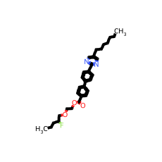 CCCCCCCc1cnc(-c2ccc(-c3ccc(C(=O)OCCOCC(F)CCC)cc3)cc2)nc1